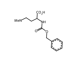 CNCCC(NC(=O)OCc1ccccc1)C(=O)O